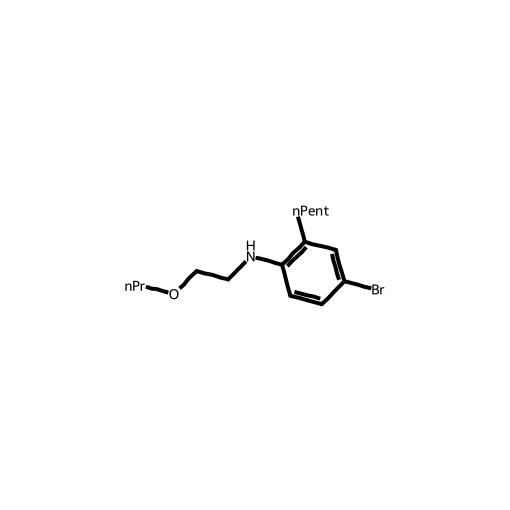 CCCCCc1cc(Br)ccc1NCCOCCC